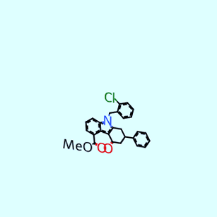 COC(=O)c1cccc2c1c1c(n2Cc2ccccc2Cl)CC(c2ccccc2)CC1=O